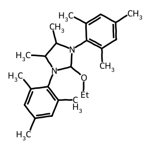 CCOC1N(c2c(C)cc(C)cc2C)C(C)C(C)N1c1c(C)cc(C)cc1C